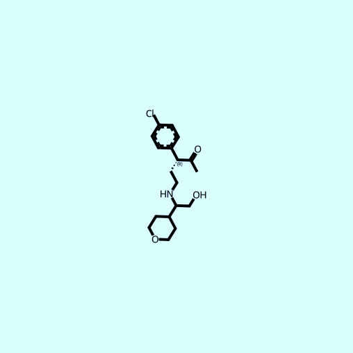 CC(=O)[C@H](CCNC(CO)C1CCOCC1)c1ccc(Cl)cc1